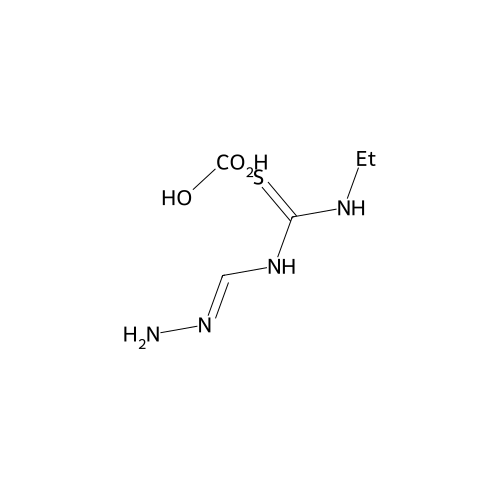 CCNC(=S)NC=NN.O=C(O)O